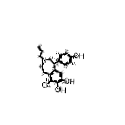 C=CCN1CCc2c(cc(O)c(O)c2Cl)C(c2ccc(O)cc2)C1